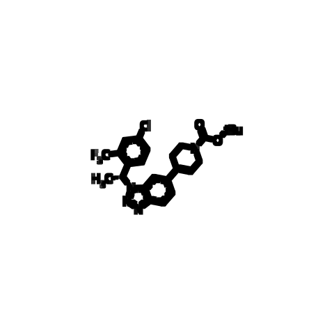 C[C@H](c1ccc(Cl)cc1C(F)(F)F)n1nnc2ccc(C3=CCN(C(=O)OC(C)(C)C)CC3)cc21